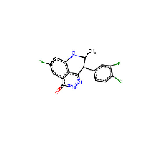 CC1Nc2cc(F)cc3c(=O)[nH]nc(c23)C1c1ccc(Cl)c(F)c1